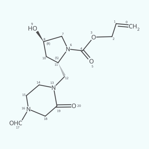 C=CCOC(=O)N1C[C@H](O)C[C@H]1CN1CCN(C=O)CC1=O